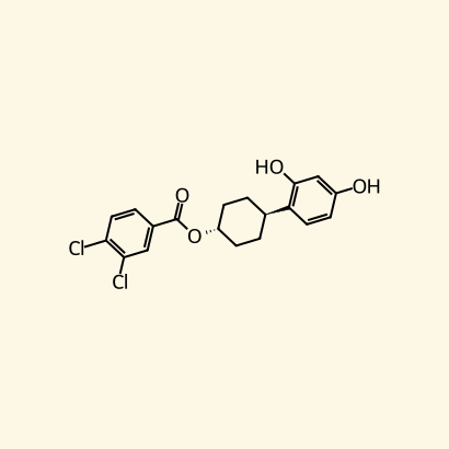 O=C(O[C@H]1CC[C@H](c2ccc(O)cc2O)CC1)c1ccc(Cl)c(Cl)c1